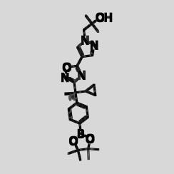 CC(C)(O)Cn1cc(-c2nc([C@@](C)(c3ccc(B4OC(C)(C)C(C)(C)O4)cc3)C3CC3)no2)cn1